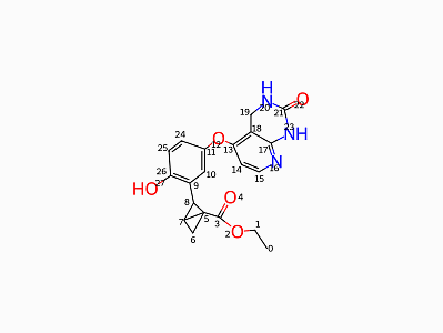 CCOC(=O)C12CC1C2c1cc(Oc2ccnc3c2CNC(=O)N3)ccc1O